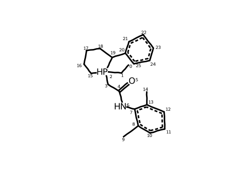 CC[PH]1(CC(=O)Nc2c(C)cccc2C)CCCCC1c1ccccc1